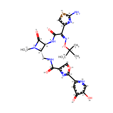 CC(C)(ON=C(C(=O)N[C@@H]1C(=O)N(S(=O)(=O)O)[C@H]1CNC(=O)c1coc(-c2cc(=O)c(O)c[nH]2)n1)c1csc(N)n1)C(=O)O